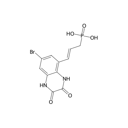 O=c1[nH]c2cc(Br)cc(/C=C/CP(=O)(O)O)c2[nH]c1=O